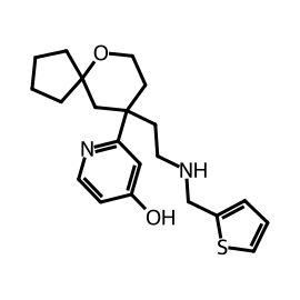 Oc1ccnc(C2(CCNCc3cccs3)CCOC3(CCCC3)C2)c1